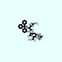 CC1C[C@@H]2[C@H](NC(=O)C(=NOC(c3ccccc3)(c3ccccc3)c3ccccc3)c3nsc(N)n3)C(=O)N2C(C(=O)O)=C1OS(=O)(=O)C(F)(F)F